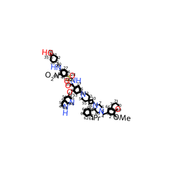 COc1cc(CN2CCN(C3CC4(CCN(c5ccc(C(=O)NS(=O)(=O)c6ccc(NC[C@H]7CC[C@](C)(O)CC7)c([N+](=O)[O-])c6)c(Oc6cnc7[nH]ccc7c6)c5)CC4)C3)[C@H](c3ccccc3C(C)C)C2)cc2c1OCCC2